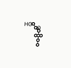 Oc1cccc(-c2ccc3c(c2)oc2ccc(-c4c5ccccc5c(-c5ccc(-c6ccccc6)cc5)c5ccccc45)cc23)c1